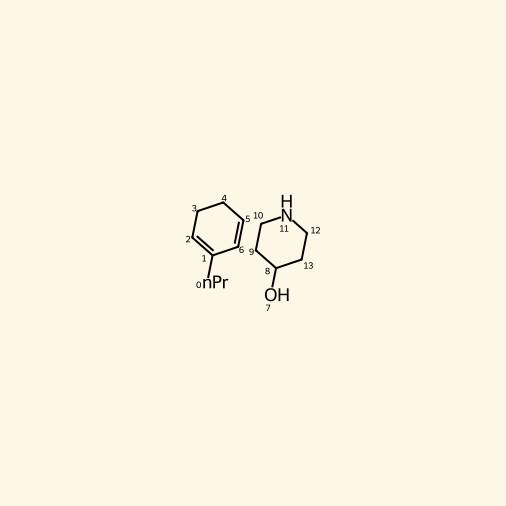 CCCC1=CCCC=C1.OC1CCNCC1